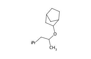 CC(C)CC(C)OC1CC2CCC1C2